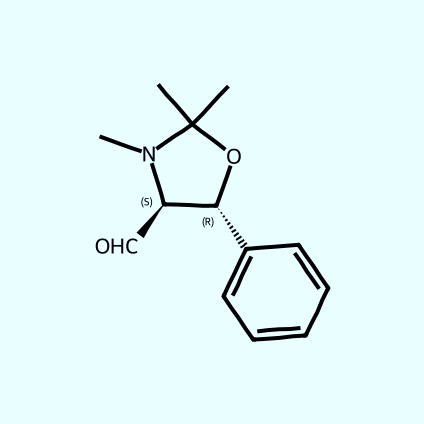 CN1[C@H](C=O)[C@@H](c2ccccc2)OC1(C)C